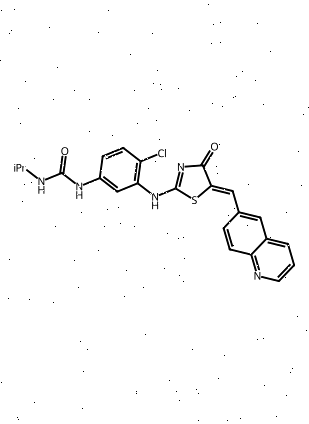 CC(C)NC(=O)Nc1ccc(Cl)c(NC2=NC(=O)/C(=C/c3ccc4ncccc4c3)S2)c1